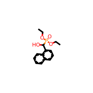 CCOP(=O)(OCC)C(O)c1cccc2ccccc12